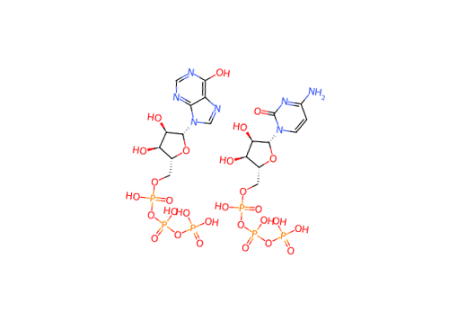 Nc1ccn([C@@H]2O[C@H](COP(=O)(O)OP(=O)(O)OP(=O)(O)O)[C@@H](O)[C@H]2O)c(=O)n1.O=P(O)(O)OP(=O)(O)OP(=O)(O)OC[C@H]1O[C@@H](n2cnc3c(O)ncnc32)[C@H](O)[C@@H]1O